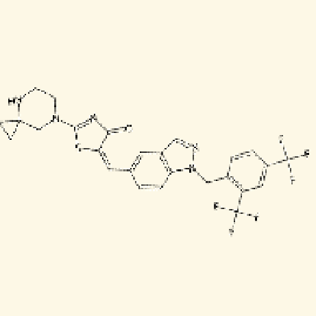 O=C1N=C(N2CCNC3(CC3)C2)SC1=Cc1ccc2c(cnn2Cc2ccc(C(F)(F)F)cc2C(F)(F)F)c1